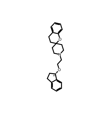 c1ccc2c(c1)CCC1(CCN(CCO[C@@H]3CCc4ccccc43)CC1)O2